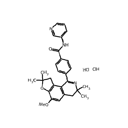 COc1cc2c(c3c1OC(C)(C)C3)C(c1ccc(C(=O)Nc3cccnc3)cc1)=NC(C)(C)C2.Cl.Cl